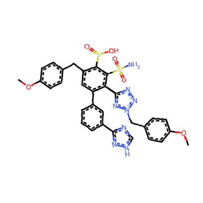 COc1ccc(Cc2cc(-c3cccc(-c4nc[nH]n4)c3)c(-c3nnn(Cc4ccc(OC)cc4)n3)c(S(N)(=O)=O)c2S(=O)O)cc1